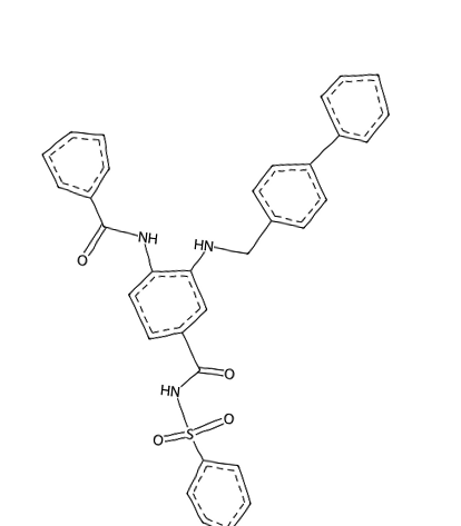 O=C(Nc1ccc(C(=O)NS(=O)(=O)c2ccccc2)cc1NCc1ccc(-c2ccccc2)cc1)c1ccccc1